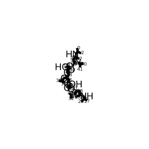 CC(C)N[C@@H]1C[C@H](COP(=O)(O)OCC(COP(=O)(O)OC[C@@H]2C[C@H](NC(C)C)CN2C(C)C)OC(C)C)N(C(C)C)C1